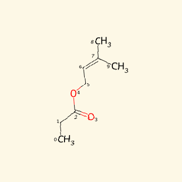 CCC(=O)OCC=C(C)C